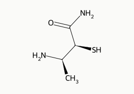 C[C@@H](N)[C@H](S)C(N)=O